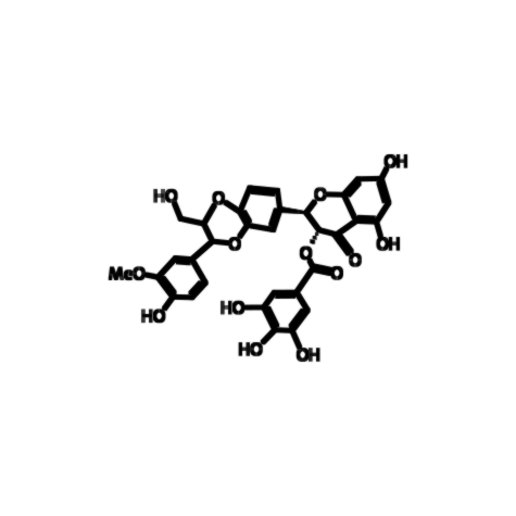 COc1cc(C2Oc3cc([C@H]4Oc5cc(O)cc(O)c5C(=O)[C@@H]4OC(=O)c4cc(O)c(O)c(O)c4)ccc3OC2CO)ccc1O